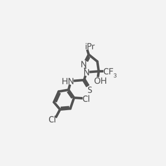 CC(C)C1=NN(C(=S)Nc2ccc(Cl)cc2Cl)C(O)(C(F)(F)F)C1